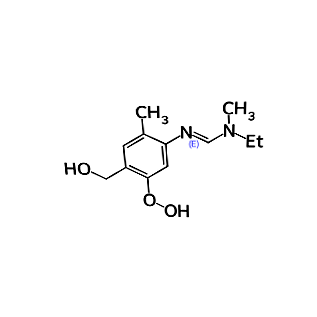 CCN(C)/C=N/c1cc(OO)c(CO)cc1C